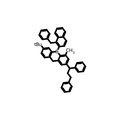 Cc1cc(C(CCc2ccccc2)c2ccccc2)cc2c1B(c1ccc3ccccc3c1Cc1ccccc1)c1cc(C(C)(C)C)ccc1C2